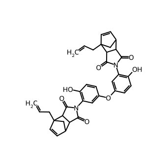 C=CCC12C=CC(C1)C1C(=O)N(c3cc(Oc4ccc(O)c(N5C(=O)C6C7C=CC(CC=C)(C7)C6C5=O)c4)ccc3O)C(=O)C12